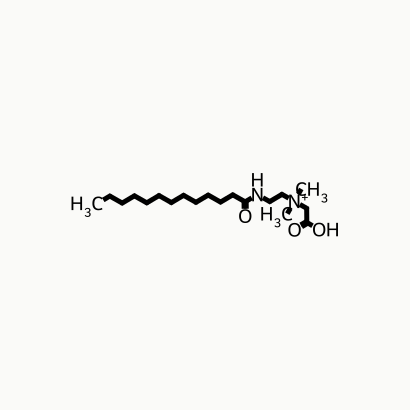 CCCCCCCCCCCCC(=O)NCC[N+](C)(C)CC(=O)O